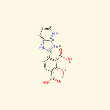 COc1c(C(=O)O)ccc(-c2nc3ncccc3[nH]2)c1C(=O)O